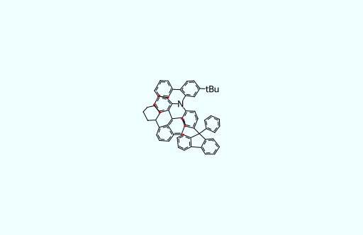 CC(C)(C)c1ccc(-c2ccccc2)c(N(c2ccc(C3(c4ccccc4)c4ccccc4-c4ccccc43)cc2)c2ccccc2C2=c3c(C4CCCCC4)cccc3=CCC2)c1